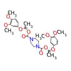 COc1ccc(O[C@@H](C)OC(=O)N2CCN(C(=O)O[C@H](C)Oc3ccc(OC)c(OC)c3)CC2)cc1OC